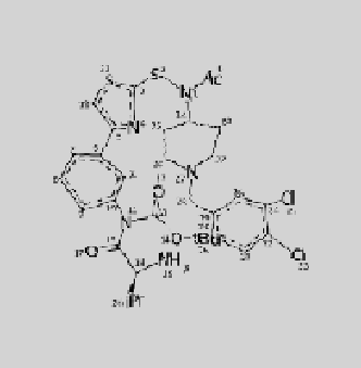 CC(=O)N(Sc1nc(-c2cccc(N(C(=O)OC(C)(C)C)C(=O)[C@@H](N)C(C)C)c2)cs1)C1CCN(Cc2ccc(Cl)c(Cl)c2)CC1